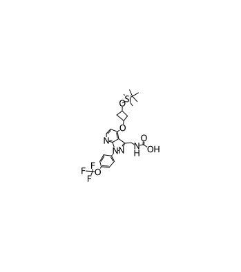 CC(C)(C)[Si](C)(C)OC1CC(Oc2ccnc3c2c(CNC(=O)O)nn3-c2ccc(OC(F)(F)F)cc2)C1